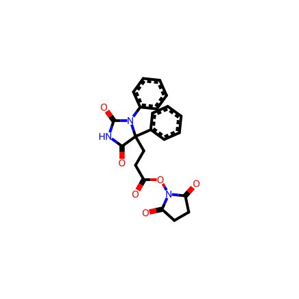 O=C(CCC1(c2ccccc2)C(=O)NC(=O)N1c1ccccc1)ON1C(=O)CCC1=O